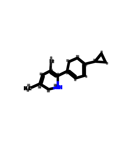 CCC1=C(C2=CC=C(C3CC3)CC2)NCC(C)=C1